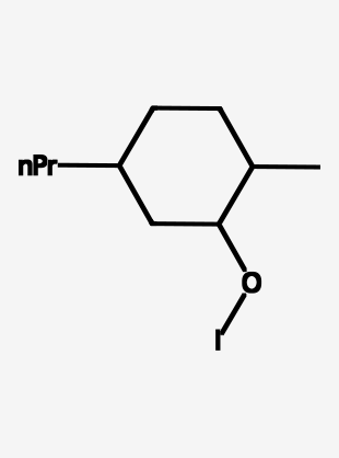 CCCC1CCC(C)C(OI)C1